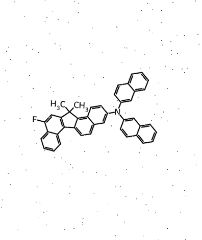 CC1(C)c2cc(F)c3ccccc3c2-c2ccc3cc(N(c4ccc5ccccc5c4)c4ccc5ccccc5c4)ccc3c21